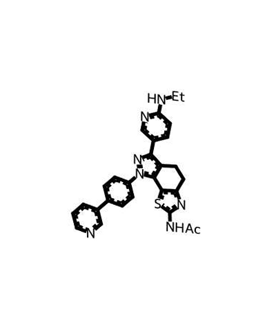 CCNc1ccc(-c2nn(-c3ccc(-c4cccnc4)cc3)c3c2CCc2nc(NC(C)=O)sc2-3)cn1